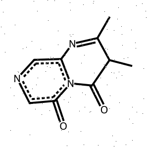 CC1=Nc2cncc(=O)n2C(=O)C1C